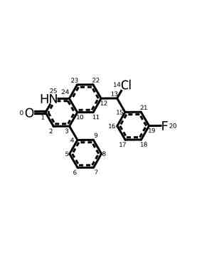 O=c1cc(-c2ccccc2)c2cc(C(Cl)c3cccc(F)c3)ccc2[nH]1